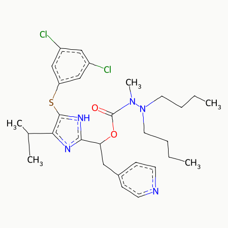 CCCCN(CCCC)N(C)C(=O)OC(Cc1ccncc1)c1nc(C(C)C)c(Sc2cc(Cl)cc(Cl)c2)[nH]1